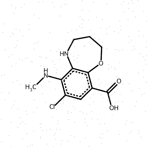 CNc1c(Cl)cc(C(=O)O)c2c1NCCCO2